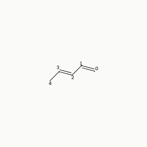 [CH]=C/C=C/C